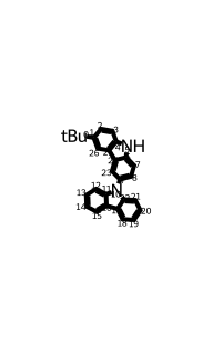 CC(C)(C)c1ccc2[nH]c3ccc(-n4c5ccccc5c5ccccc54)cc3c2c1